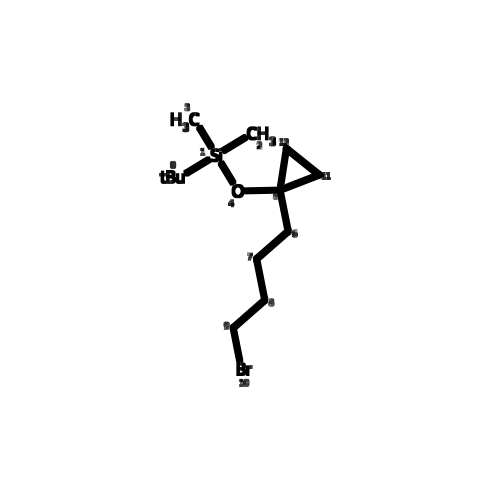 CC(C)(C)[Si](C)(C)OC1(CCCCBr)CC1